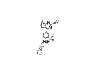 Cn1ccc2c(-c3ccc(NCC(C)(C)N4CCCC4)c(C(F)(F)F)c3)nc(C#N)nc21